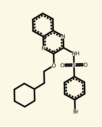 O=S(=O)(Nc1nc2ccccc2nc1OCCC1CCCCC1)c1ccc(Br)cc1